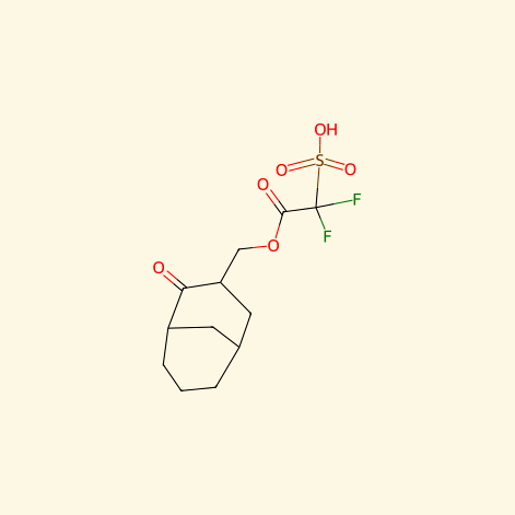 O=C1C2CCCC(C2)CC1COC(=O)C(F)(F)S(=O)(=O)O